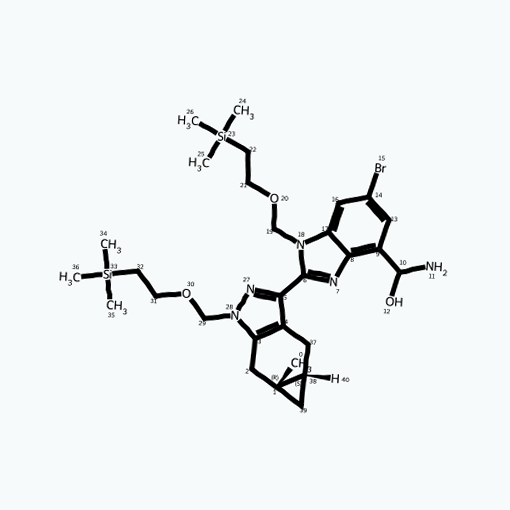 C[C@@]12Cc3c(c(-c4nc5c(C(N)O)cc(Br)cc5n4COCC[Si](C)(C)C)nn3COCC[Si](C)(C)C)C[C@@H]1C2